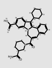 NC(=O)C1CCCN(C(=O)C2=Cc3ccccc3-c3c(C4CCCCC4)c4ccc(C(=O)O)cc4n3C2)C1